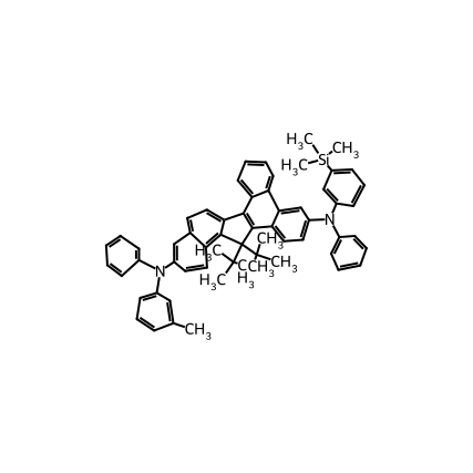 Cc1cccc(N(c2ccccc2)c2ccc3c4c(ccc3c2)-c2c(c3ccc(N(c5ccccc5)c5cccc([Si](C)(C)C)c5)cc3c3ccccc23)C4(C(C)(C)C)C(C)(C)C)c1